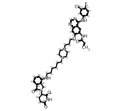 C=CC(=O)Nc1cc2c(Nc3ccc(F)c(Cl)c3)ncnc2cc1OCCCN1CCN(CCCCCCNc2cccc3c2CN(C2CCC(=O)NC2=O)C3=O)CC1